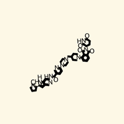 CN1CCC[C@@H]1c1cc2cnc(NC(=O)c3ccc(N4CCN(CC5CCN(c6cccc7c6C(=O)N(C6CCC(=O)NC6=O)C7=O)CC5)CC4)nc3)cc2[nH]1